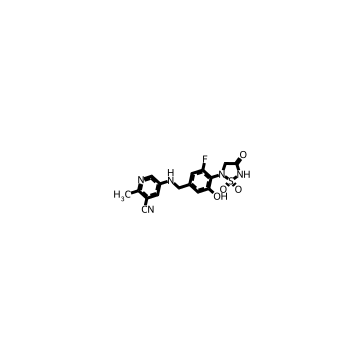 Cc1ncc(NCc2cc(O)c(N3CC(=O)NS3(=O)=O)c(F)c2)cc1C#N